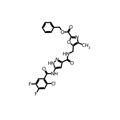 Cc1nc(C(=O)OCc2ccccc2)oc1CNC(=O)c1cc(NC(=O)c2cc(F)c(F)cc2Cl)[nH]n1